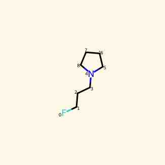 FCCCN1C[CH]CC1